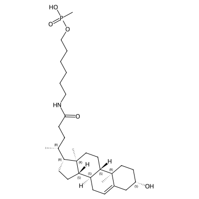 C[C@H](CCC(=O)NCCCCCCOP(C)(=O)O)[C@H]1CC[C@H]2[C@@H]3CC=C4C[C@@H](O)CC[C@]4(C)[C@H]3CC[C@]12C